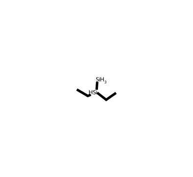 CC[SiH]([SiH3])CC